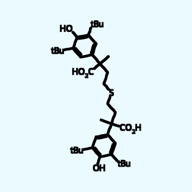 CC(C)(C)c1cc(C(C)(CCSCCC(C)(C(=O)O)c2cc(C(C)(C)C)c(O)c(C(C)(C)C)c2)C(=O)O)cc(C(C)(C)C)c1O